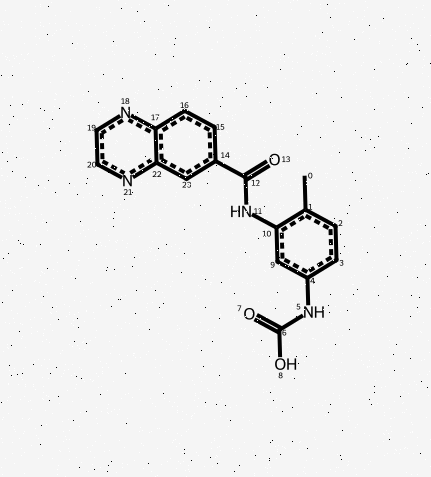 Cc1ccc(NC(=O)O)cc1NC(=O)c1ccc2nccnc2c1